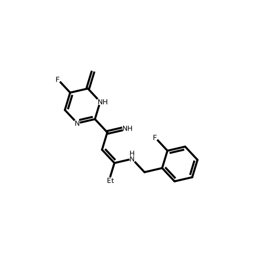 C=C1NC(C(=N)/C=C(/CC)NCc2ccccc2F)=NC=C1F